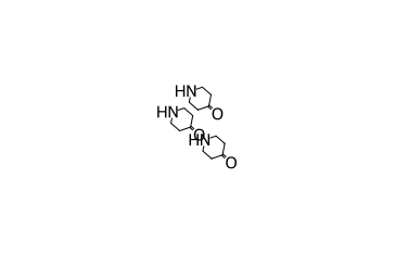 O=C1CCNCC1.O=C1CCNCC1.O=C1CCNCC1